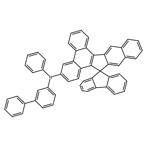 c1ccc(-c2cccc(N(c3ccccc3)c3ccc4c5c(c6ccccc6c4c3)-c3cc4ccccc4cc3C53c4ccccc4-c4ccccc43)c2)cc1